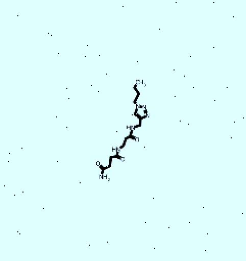 CCCCn1cc(CNC(=O)CCNC(=O)CCC(N)=O)nn1